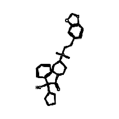 C[N+](C)(CCc1ccc2c(c1)OCO2)C1CCN(C(=O)C(O)(c2ccccc2)C2CCCC2)CC1